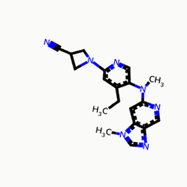 CCc1cc(N2CC(C#N)C2)ncc1N(C)c1cc2c(cn1)ncn2C